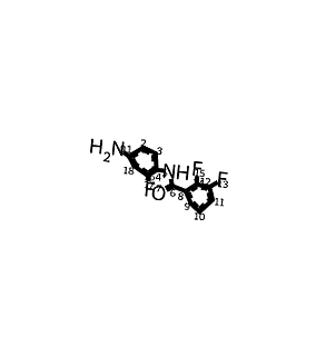 Nc1ccc(NC(=O)c2cccc(F)c2F)c(F)c1